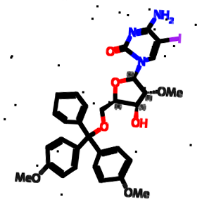 COc1ccc(C(OC[C@H]2O[C@@H](n3cc(I)c(N)nc3=O)[C@H](OC)[C@H]2O)(c2ccccc2)c2ccc(OC)cc2)cc1